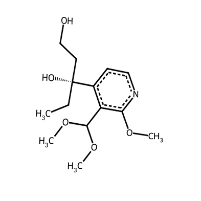 CC[C@@](O)(CCO)c1ccnc(OC)c1C(OC)OC